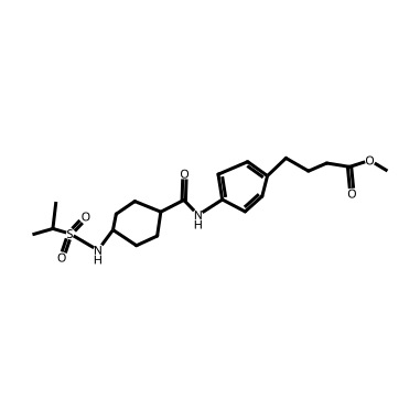 COC(=O)CCCc1ccc(NC(=O)C2CCC(NS(=O)(=O)C(C)C)CC2)cc1